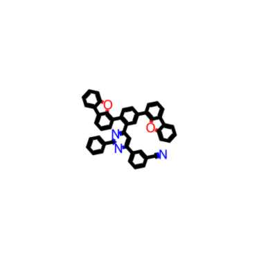 N#Cc1cccc(-c2cc(-c3cc(-c4cccc5c4oc4ccccc45)ccc3-c3cccc4c3oc3ccccc34)nc(-c3ccccc3)n2)c1